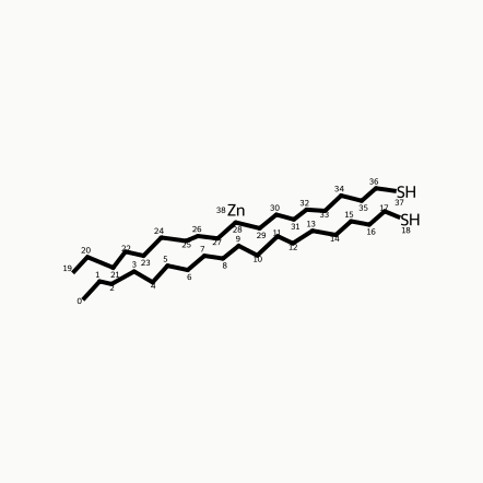 CCCCCCCCCCCCCCCCCCS.CCCCCCCCCCCCCCCCCCS.[Zn]